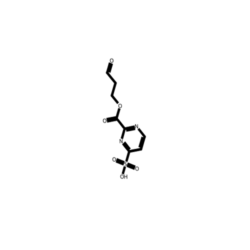 O=CCCOC(=O)c1nccc(S(=O)(=O)O)n1